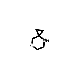 C1COCC2(CC2)N1